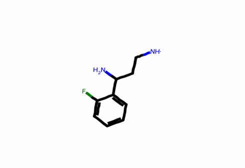 [NH]CCC(N)c1ccccc1F